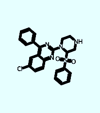 O=S(=O)(c1ccccc1)C1CNCCN1c1nc(-c2ccccc2)c2cc(Cl)ccc2n1